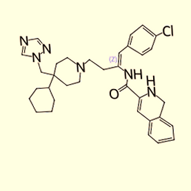 O=C(N/C(=C\c1ccc(Cl)cc1)CCN1CCC(Cn2cncn2)(C2CCCCC2)CC1)C1=Cc2ccccc2CN1